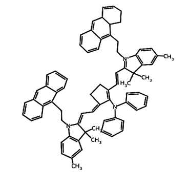 Cc1ccc2c(c1)C(C)(C)C(/C=C/C1=C(N(c3ccccc3)c3ccccc3)C(=C/C=C3/N(CCc4c5ccccc5cc5ccccc45)c4ccc(C)cc4C3(C)C)/CC1)=[N+]2CCC1=c2ccccc2=CC2C=CCCC12